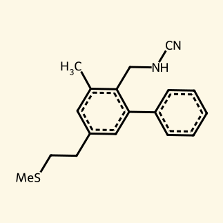 CSCCc1cc(C)c(CNC#N)c(-c2ccccc2)c1